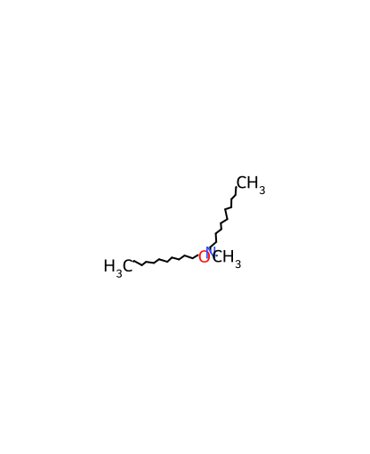 CCCCCCCCCCCCON(C)CCCCCCCCCCCC